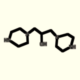 OC(CN1CCNCC1)CN1CCNCC1